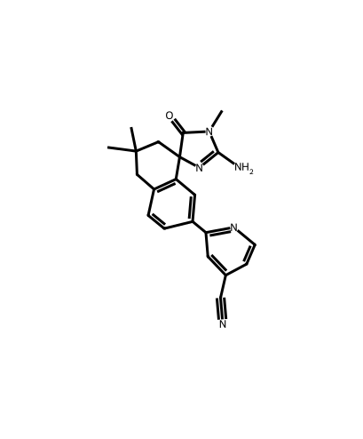 CN1C(=O)C2(CC(C)(C)Cc3ccc(-c4cc(C#N)ccn4)cc32)N=C1N